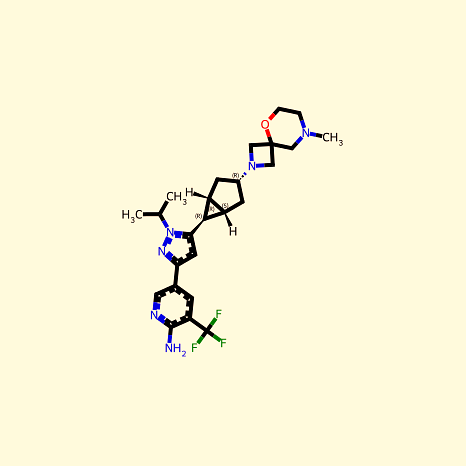 CC(C)n1nc(-c2cnc(N)c(C(F)(F)F)c2)cc1[C@H]1[C@@H]2C[C@H](N3CC4(CN(C)CCO4)C3)C[C@@H]21